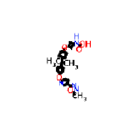 Cc1nnc(-c2ccc(Oc3ccc(C(C)(C)c4ccc(O[C@H]5C[C@H](NC(=O)O)C5)cc4)cc3)nc2)o1